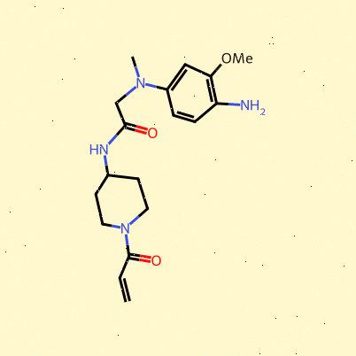 C=CC(=O)N1CCC(NC(=O)CN(C)c2ccc(N)c(OC)c2)CC1